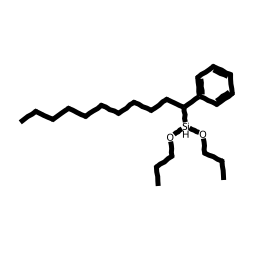 CCCCCCCCCCC(c1ccccc1)[SiH](OCCC)OCCC